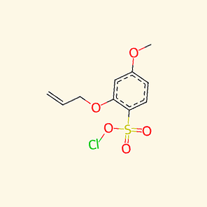 C=CCOc1cc(OC)ccc1S(=O)(=O)OCl